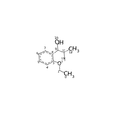 CCOc1ccccc1C(O)C(C)I